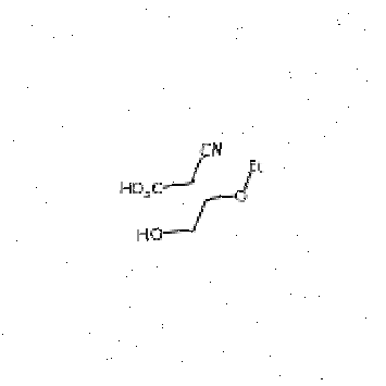 CCOCCO.N#CCC(=O)O